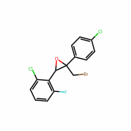 Fc1cccc(Cl)c1C1OC1(CBr)c1ccc(Cl)cc1